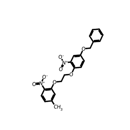 Cc1ccc([N+](=O)[O-])c(OCCOc2ccc(OCc3ccccc3)cc2[N+](=O)[O-])c1